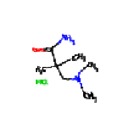 CN(C)CC(C)(C)C(N)=O.Cl